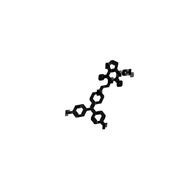 Cn1c(=O)n(CCN2CCC(=C(c3ccc(F)cc3)c3ccc(F)cc3)CC2)c(=O)c2sccc21